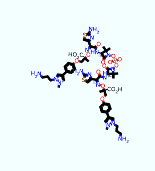 C[n+]1cc(-c2ccc(OC[C@](C)(O/N=C(\C(=O)N[C@@H]3C(=O)N(OS(=O)(=O)ON4C(=O)[C@@H](NC(=O)/C(=N\O[C@@](C)(COc5ccc(-c6cn(CCCN)[n+](C)c6)cc5)C(=O)O)c5csc(N)n5)C4(C)C)C3(C)C)c3csc(N)n3)C(=O)O)cc2)cn1CCCN